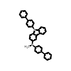 CN(c1ccc(-c2ccccc2)cc1)c1ccc2c(c1)c1ccccc1n2-c1ccc(-c2ccccc2)cc1